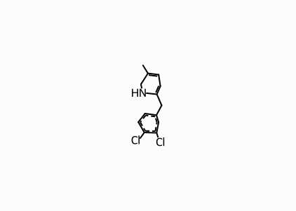 CC1=CC=C(Cc2ccc(Cl)c(Cl)c2)NC1